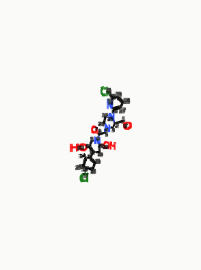 O=CC1CN(CC(=O)N2CC(O)=C(c3ccc(Cl)cc3)C=C2O)CCN1c1cccc(Cl)n1